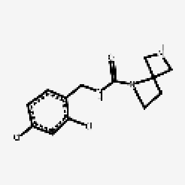 O=C(NCc1ccc(Cl)cc1Cl)N1CCC12CNC2